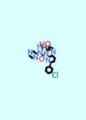 O=C(Nc1cnccn1)N1c2nc(-c3cccc(Cl)c3)ccc2N2C[C@@H](O)[C@H]1C2